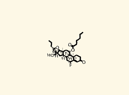 CCCCCC(=O)O[C@H]1C[C@@]2(C)[C@@H](C[C@H]3O[C@@H](CCC)O[C@]32C(=O)CO)[C@@H]2C[C@H](F)C3=CC(=O)CC[C@]3(C)[C@@]12F